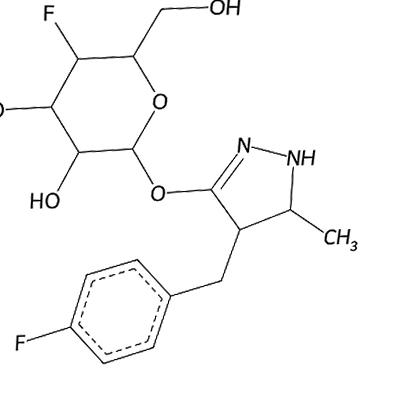 CC1NN=C(OC2OC(CO)C(F)C(O)C2O)C1Cc1ccc(F)cc1